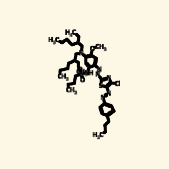 CCCCc1ccc(N=Nc2sc(/N=N/c3cc(OC)c(N(CC(CC)CCCC)CC(CC)CCCC)cc3NS(=O)(=O)CCCC)nc2Cl)cc1